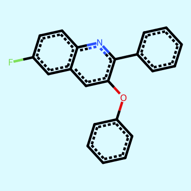 Fc1ccc2nc(-c3ccccc3)c(Oc3ccccc3)cc2c1